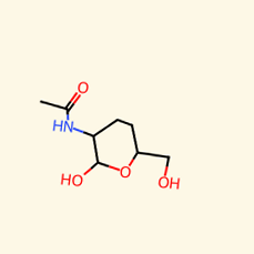 CC(=O)NC1CCC(CO)OC1O